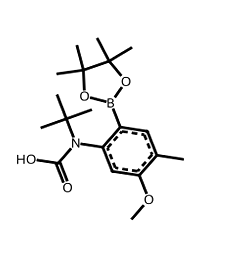 COc1cc(N(C(=O)O)C(C)(C)C)c(B2OC(C)(C)C(C)(C)O2)cc1C